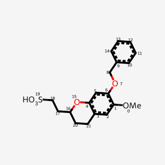 COc1cc2c(cc1OCc1ccccc1)OC(CCS(=O)(=O)O)CC2